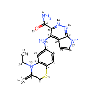 C=C1CSc2ccc(Nc3c(C(N)=O)nnc4[nH]ccc34)cc2N1CC#N